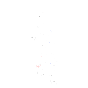 Cc1cc(C=O)cnc1N1CCC(CN(CC(C)C)C(=O)O)CC1